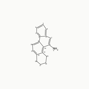 Nc1cc2ccccc2c2ccc3c(c12)CCCC3